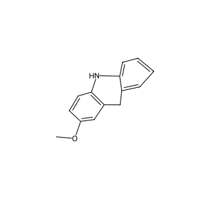 COc1ccc2c(c1)Cc1ccccc1N2